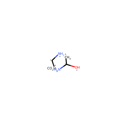 CC(N)O.NCC(=O)O